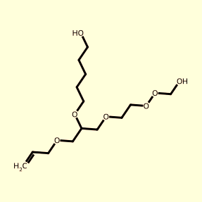 C=CCOCC(COCCOOCO)OCCCCCO